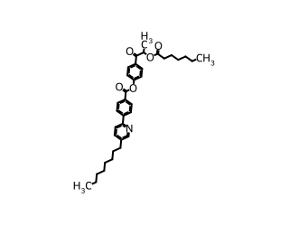 CCCCCCCCc1ccc(-c2ccc(C(=O)Oc3ccc(C(=O)C(C)OC(=O)CCCCCC)cc3)cc2)nc1